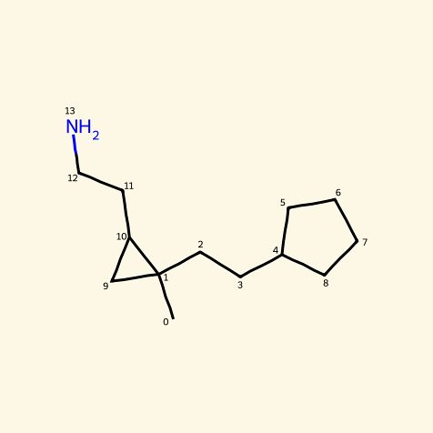 CC1(CCC2CCCC2)CC1CCN